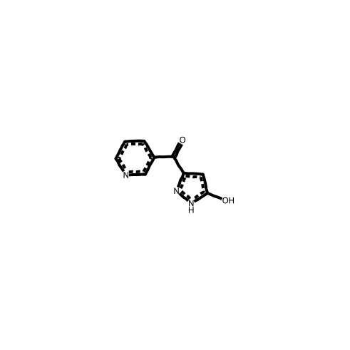 O=C(c1cccnc1)c1cc(O)[nH]n1